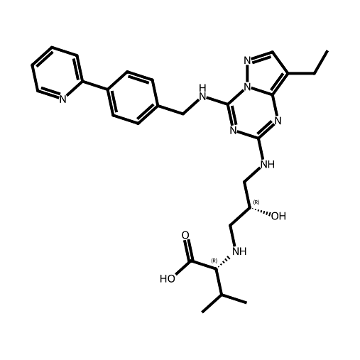 CCc1cnn2c(NCc3ccc(-c4ccccn4)cc3)nc(NC[C@H](O)CN[C@@H](C(=O)O)C(C)C)nc12